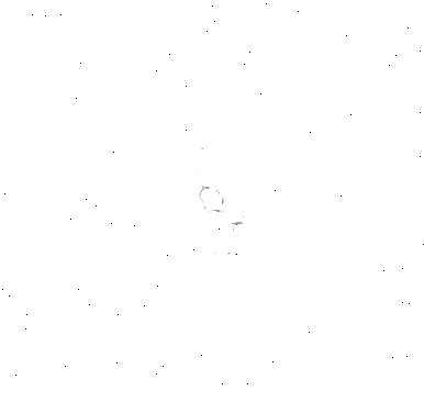 CCOC(=O)C(OCC)OC(=O)c1ccc(C(=O)OC(OCC)C(=O)OCC)nc1